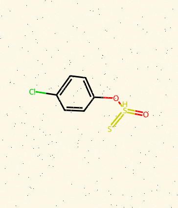 O=[SH](=S)Oc1ccc(Cl)cc1